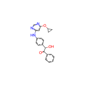 O=C(c1ccccc1)C(O)c1ccc(Nc2cc(OC3CC3)ncn2)cc1